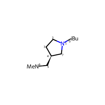 CCC(C)N1CC[C@H](CNC)C1